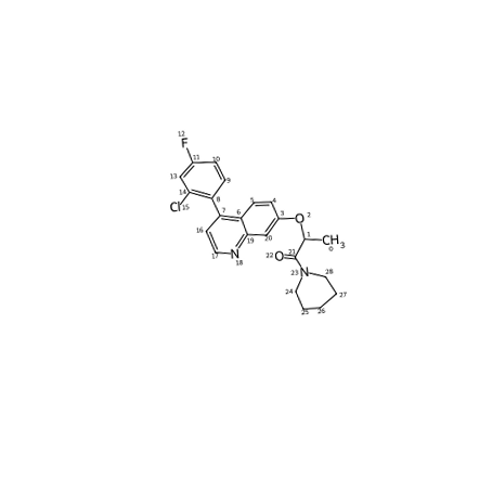 CC(Oc1ccc2c(-c3ccc(F)cc3Cl)ccnc2c1)C(=O)N1CCCCC1